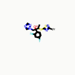 CC(C)c1nsc(SC(C)C(O)(Cn2cncn2)c2ccc(F)cc2F)n1